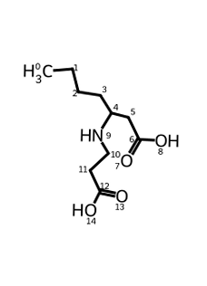 CCCCC(CC(=O)O)NCCC(=O)O